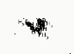 CCOc1cc(C(=O)N2CCC(N3CCN(C)CC3)CC2)ccc1Nc1cc2c(cn1)N(C)C(=O)c1ccccc1N2C